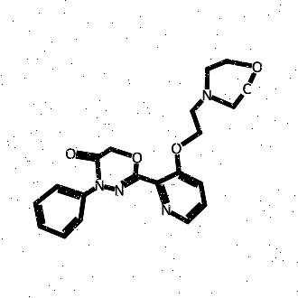 O=C1COC(c2ncccc2OCCN2CCOCC2)=NN1c1ccccc1